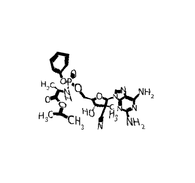 CC(C)OC(=O)[C@@H](C)N[P@](=O)(OC[C@H]1O[C@@H](n2cnc3c(N)nc(N)nc32)[C@](C)(C#N)[C@@H]1O)Oc1ccccc1